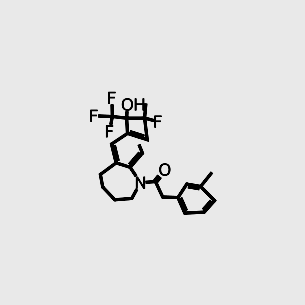 C/C=C1\C(=C/C2=CC(C)(F)C2(O)C(F)(F)F)CCCCN1C(=O)Cc1cccc(C)c1